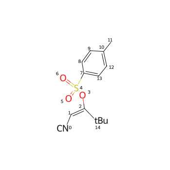 [C-]#[N+]C=C(OS(=O)(=O)c1ccc(C)cc1)C(C)(C)C